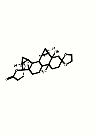 CC12CCC3(CC1(O)[C@@H]1C[C@@H]1C1C2CCC2(C)C1C1C[C@@H]1[C@@]21CCC(=O)O1)OCCO3